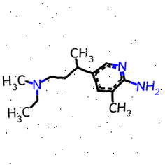 CCN(C)CCC(C)c1cnc(N)c(C)c1